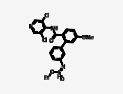 CCO[SH](=O)=Nc1cccc(-c2cc(OC)ccc2C(=O)Nc2c(Cl)cncc2Cl)c1